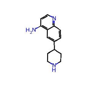 Nc1ccnc2ccc(C3CCNCC3)cc12